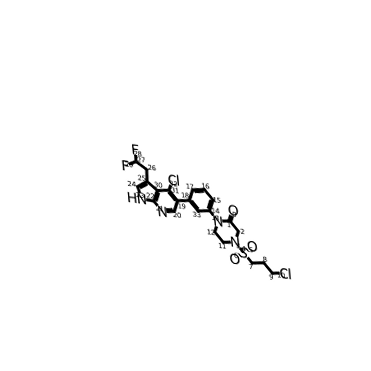 O=C1CN(S(=O)(=O)CCCCl)CCN1c1cccc(-c2cnc3[nH]cc(CC(F)F)c3c2Cl)c1